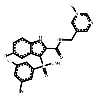 COP(=O)(c1cc(C#N)cc(C(C)C)c1)c1c(C(=O)NCc2cnc[n+]([O-])c2)[nH]c2ccc(Cl)cc12